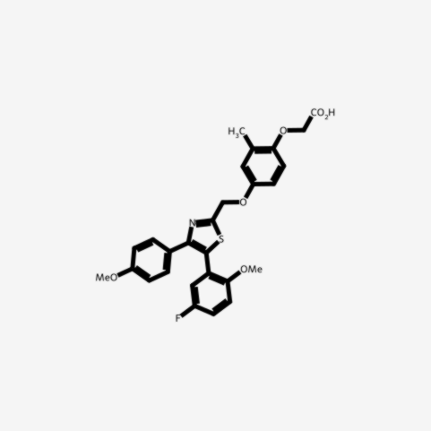 COc1ccc(-c2nc(COc3ccc(OCC(=O)O)c(C)c3)sc2-c2cc(F)ccc2OC)cc1